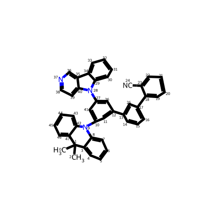 CC1(C)c2ccccc2N(c2cc(-c3cccc(-c4ccccc4C#N)c3)cc(-n3c4ccccc4c4cnccc43)c2)c2ccccc21